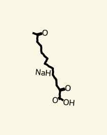 CC(=O)CCCCCCCCCC(=O)C(=O)O.[NaH]